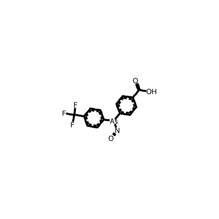 O=N[As](c1ccc(C(=O)O)cc1)c1ccc(C(F)(F)F)cc1